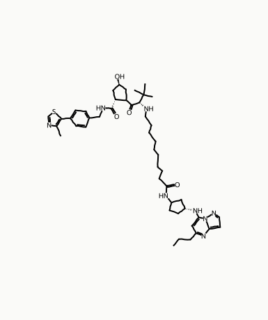 CCCc1cc(N[C@@H]2CCC(NC(=O)CCCCCCCCCN[C@H](C(=O)C3C[C@H](O)C[C@H]3C(=O)NCc3ccc(-c4scnc4C)cc3)C(C)(C)C)C2)n2nccc2n1